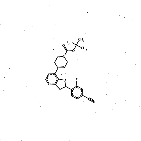 CC(C)(C)OC(=O)N1CC=C(c2cccc3c2OC(c2ccc(C#N)cc2F)C3)CC1